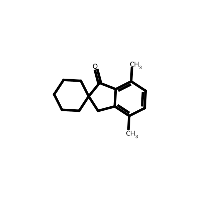 Cc1ccc(C)c2c1CC1(CCCCC1)C2=O